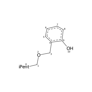 CCCC(C)COCc1ccccc1O